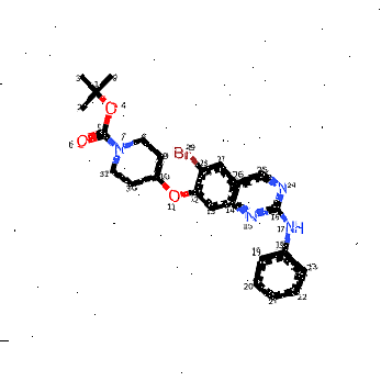 CC(C)(C)OC(=O)N1CCC(Oc2cc3nc(Nc4ccccc4)ncc3cc2Br)CC1